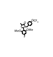 COc1cc(F)cc(OC)c1C1SC(C)C(=O)N1Cc1ccc(OC(F)(F)F)cc1